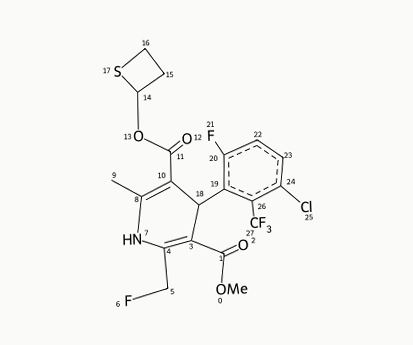 COC(=O)C1=C(CF)NC(C)=C(C(=O)OC2CCS2)C1c1c(F)ccc(Cl)c1C(F)(F)F